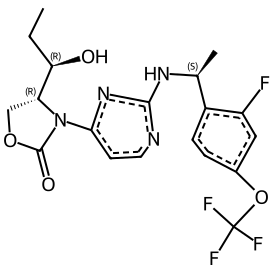 CC[C@@H](O)[C@H]1COC(=O)N1c1ccnc(N[C@@H](C)c2ccc(OC(F)(F)F)cc2F)n1